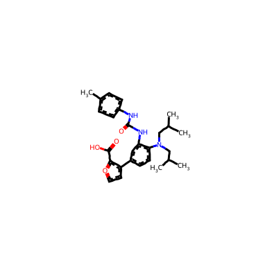 Cc1ccc(NC(=O)Nc2cc(-c3ccoc3C(=O)O)ccc2N(CC(C)C)CC(C)C)cc1